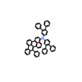 c1ccc(-c2ccc(N(c3ccc(-c4cccc5c4c(-c4ccccc4)c(-c4ccccc4)c4ccccc45)cc3)c3ccc(-c4ccccc4)c(-c4ccccc4)c3)cc2-c2ccccc2)cc1